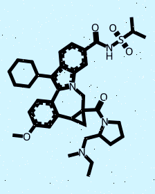 CCN(C)CC1CCCN1C(=O)C12CC1c1cc(OC)ccc1-c1c(C3CCCCC3)c3ccc(C(=O)NS(=O)(=O)C(C)C)cc3n1C2